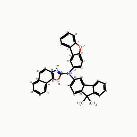 CC1(C)c2ccccc2-c2cc(N(c3ccc4oc5ccccc5c4c3)c3nc4ccc5ccccc5c4o3)ccc21